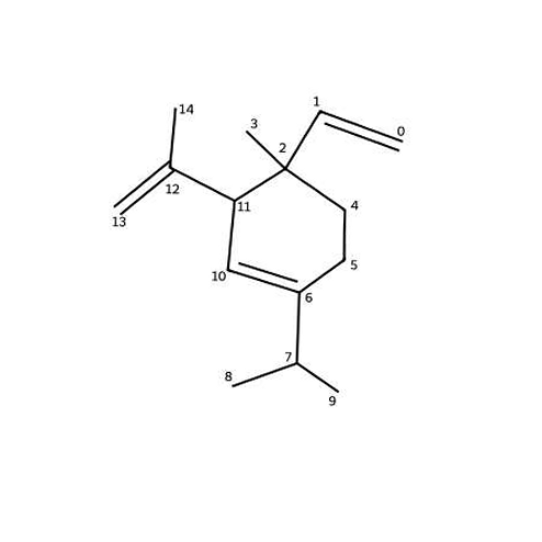 C=CC1(C)CCC(C(C)C)=CC1C(=C)C